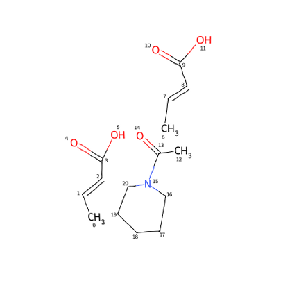 C/C=C/C(=O)O.C/C=C/C(=O)O.CC(=O)N1CCCCC1